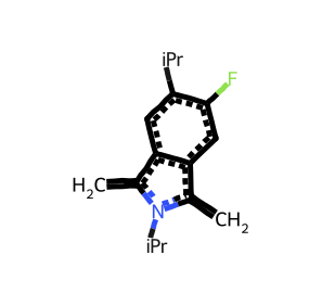 C=c1c2cc(F)c(C(C)C)cc2c(=C)n1C(C)C